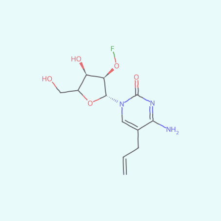 C=CCc1cn([C@@H]2OC(CO)[C@@H](O)[C@H]2OF)c(=O)nc1N